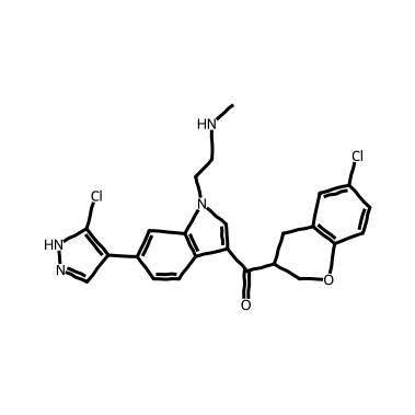 CNCCn1cc(C(=O)C2COc3ccc(Cl)cc3C2)c2ccc(-c3cn[nH]c3Cl)cc21